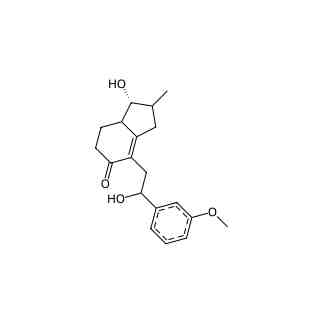 COc1cccc(C(O)CC2=C3CC(C)[C@@H](O)C3CCC2=O)c1